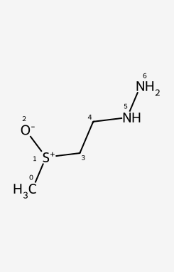 C[S+]([O-])CCNN